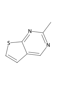 Cc1ncc2ccsc2n1